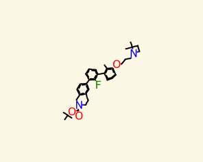 Cc1c(OCCCN2CCC2(C)C)cccc1-c1cccc(-c2ccc3c(c2)CCN(C(=O)OC(C)(C)C)C3)c1F